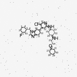 Fc1cccc(Cn2cnc3ccc(-c4cc(NC5CCC(NCCOc6ccccc6)CC5)ncc4Cl)cc32)c1